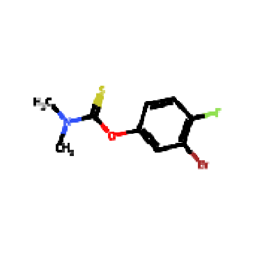 CN(C)C(=S)Oc1ccc(F)c(Br)c1